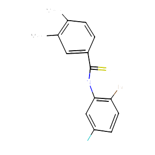 COc1ccc(C(=S)Nc2cc(F)ccc2Br)cc1OC